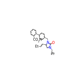 CCC=Cc1cn(CC(C)C)c(=O)n1Cc1ccc(-c2ccccc2C(=O)O)cc1